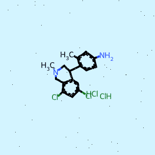 Cc1cc(N)ccc1C1CN(C)Cc2c(Cl)cc(Cl)cc21.Cl.Cl